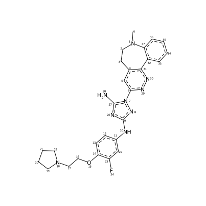 CN1CCc2cc(-n3nc(Nc4ccc(OCCN5CCCC5)c(F)c4)nc3N)nnc2-c2ccccc21